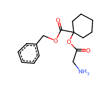 NCC(=O)OC1(C(=O)OCc2ccccc2)CCCCC1